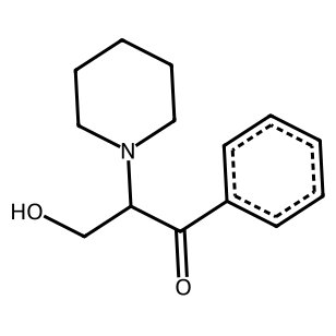 O=C(c1ccccc1)C(CO)N1CCCCC1